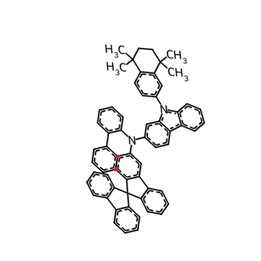 CC1(C)CCC(C)(C)c2cc(-n3c4ccccc4c4ccc(N(c5ccc6c(c5)-c5ccccc5C65c6ccccc6-c6ccccc65)c5ccccc5-c5ccccc5)cc43)ccc21